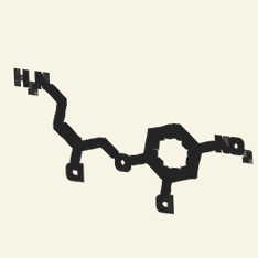 NC/C=C(/Cl)COc1ccc([N+](=O)[O-])cc1Cl